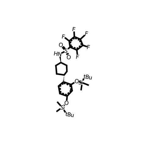 CC(C)(C)[Si](C)(C)Oc1ccc([C@H]2CC[C@H](NS(=O)(=O)c3c(F)c(F)c(F)c(F)c3F)CC2)c(O[Si](C)(C)C(C)(C)C)c1